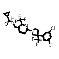 O=C(NCc1ccc(N2CCC(c3cc(Cl)cc(Cl)c3)(C(F)(F)F)C2)nc1C(F)(F)F)C1CC1